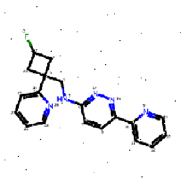 FC1CC(CNc2ccc(-c3ccccn3)nn2)(c2ccccn2)C1